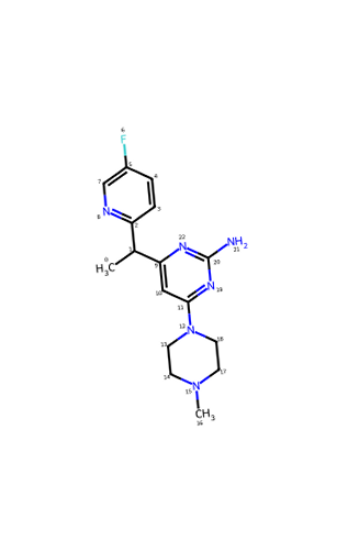 CC(c1ccc(F)cn1)c1cc(N2CCN(C)CC2)nc(N)n1